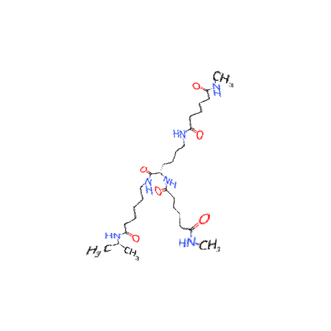 CNC(=O)CCCCC(=O)NCCCC[C@H](NC(=O)CCCCC(=O)NC)C(=O)NCCCCCC(=O)NC(C)C